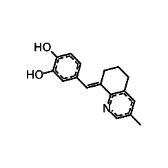 Cc1cnc2c(c1)CCC/C2=C\c1ccc(O)c(O)c1